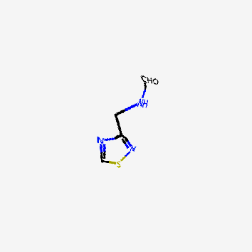 O=CNCc1ncsn1